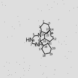 C1CCC(N2CNCNC2(C2CCCCC2)C2CCCCC2)CC1